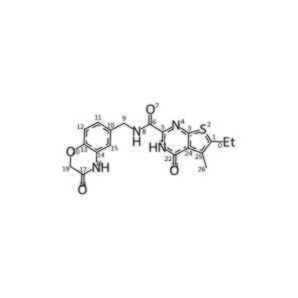 CCc1sc2nc(C(=O)NCc3ccc4c(c3)NC(=O)CO4)[nH]c(=O)c2c1C